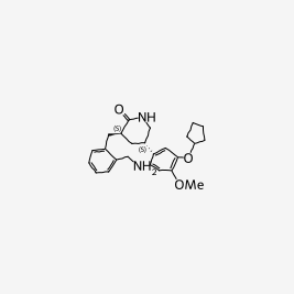 COc1ccc([C@H]2CNC(=O)[C@H](Cc3ccccc3CN)C2)cc1OC1CCCC1